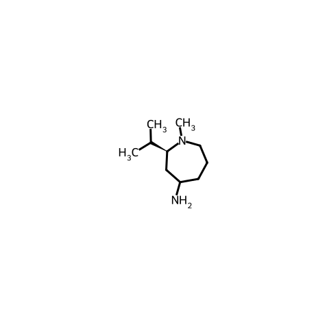 CC(C)[C@@H]1CC(N)CCCN1C